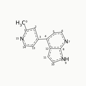 Cc1cc(-c2ccnc3[nH]ccc23)ccn1